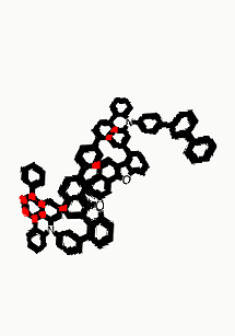 c1ccc(-c2ccc(-c3ccccc3N(c3cccc(-c4cccc5oc6c7cc(-c8ccc(-c9ccc(-c%10ccccc%10N(c%10ccc(-c%11cccc(-c%12ccccc%12)c%11)cc%10)c%10cccc(-c%11cccc%12oc%13c%14ccccc%14ccc%13c%11%12)c%10)cc9)cc8)ccc7ccc6c45)c3)c3cccc4ccccc34)cc2)cc1